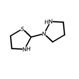 C1CNN(C2NCCS2)C1